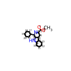 COC(=O)c1cc2c([nH]c3ccccc32)c(-c2ccccc2)n1